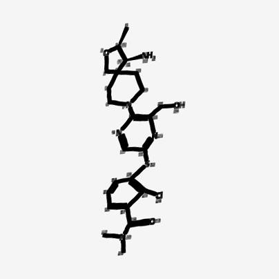 C[C@@H]1OCC2(CCN(c3ncc(Sc4cccc(C(=O)N(C)C)c4Cl)nc3CO)CC2)[C@@H]1N